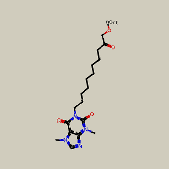 CCCCCCCCOCC(=O)CCCCCCCCCn1c(=O)c2c(ncn2C)n(C)c1=O